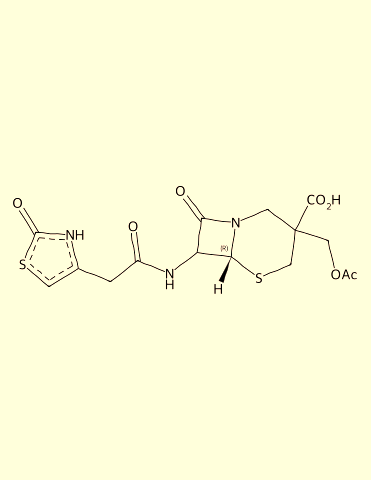 CC(=O)OCC1(C(=O)O)CS[C@@H]2C(NC(=O)Cc3csc(=O)[nH]3)C(=O)N2C1